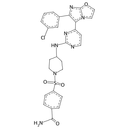 NC(=O)c1ccc(S(=O)(=O)N2CCC(Nc3nccc(-c4c(-c5cccc(Cl)c5)nc5occn45)n3)CC2)cc1